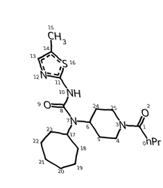 CCCC(=O)N1CCC(N(C(=O)Nc2ncc(C)s2)C2CCCCCC2)CC1